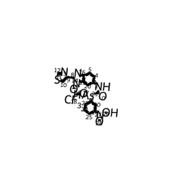 O=C(Nc1ccc2nc(-c3cscn3)n(OC(=O)C(F)(F)F)c2c1)[AsH]c1cccc([N+](=O)O)c1